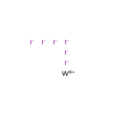 [I-].[I-].[I-].[I-].[I-].[I-].[W+6]